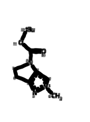 Cn1cc2c(n1)CCN2C(=O)OC(C)(C)C